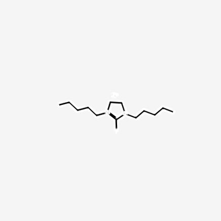 CCCCCN1CC[N+](CCCCC)=C1F.[Br-]